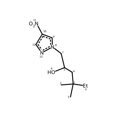 CCC(C)(C)CC(O)Cn1cc([N+](=O)[O-])cn1